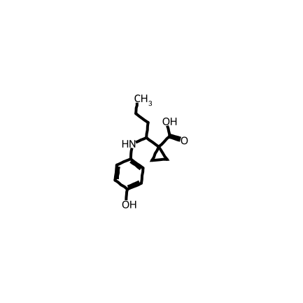 CCCC(Nc1ccc(O)cc1)C1(C(=O)O)CC1